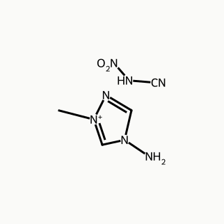 C[n+]1cn(N)cn1.N#CN[N+](=O)[O-]